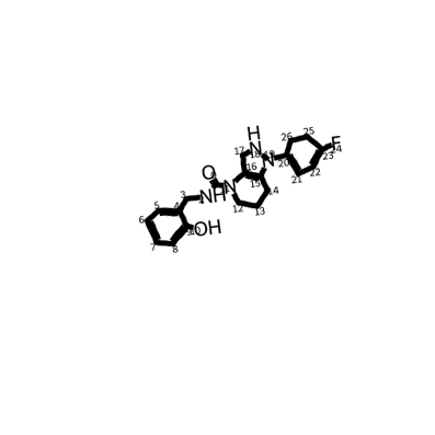 O=C(NCc1ccccc1O)N1CCCC2=C1CNN2C1=CC=C(F)CC1